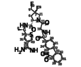 C[C@@H](NC(=O)[C@@H]1C[C@](F)(CF)CN1C(=O)CNC(=O)c1ccc2c(c1)S(=O)(=O)c1ccccc1-2)c1cc(C(=N)N)cs1